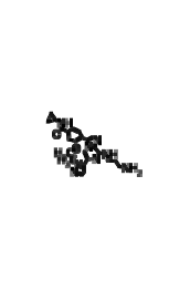 COc1cc(C(=O)NC2CC2)ccc1-c1cnc2c(NCCCN)nc(-c3ccnn3C)cn12